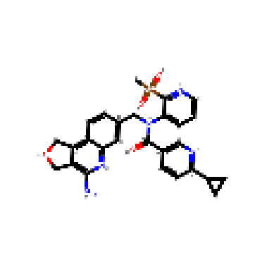 CS(=O)(=O)c1ncccc1N(Cc1ccc2c3c(c(N)nc2c1)COC3)C(=O)c1ccc(C2CC2)nc1